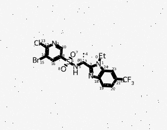 CCn1c([C@@H](C)NS(=O)(=O)c2cnc(Cl)c(Br)c2)nc2ccc(C(F)(F)F)cc21